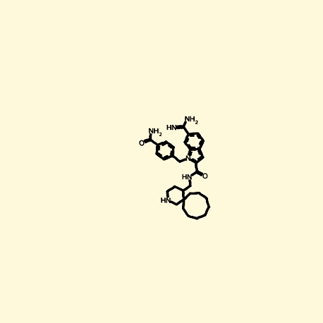 N=C(N)c1ccc2cc(C(=O)NCC3CCNCC34CCCCCCCC4)n(Cc3ccc(C(N)=O)cc3)c2c1